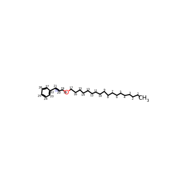 CCCCCCCCCCCCCCCCCCOC/C=C/c1ccccc1